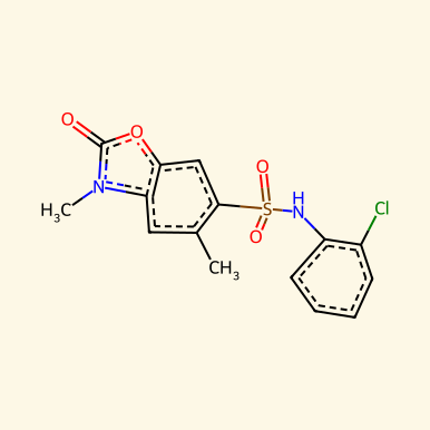 Cc1cc2c(cc1S(=O)(=O)Nc1ccccc1Cl)oc(=O)n2C